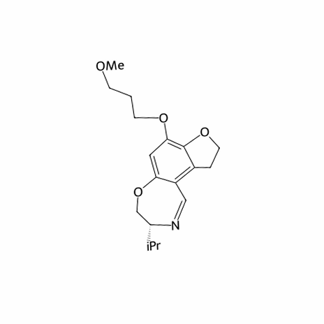 COCCCOc1cc2c(c3c1OCC3)C=N[C@H](C(C)C)CO2